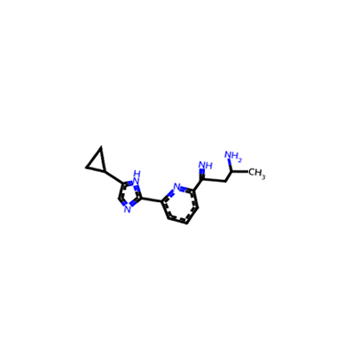 CC(N)CC(=N)c1cccc(-c2ncc(C3CC3)[nH]2)n1